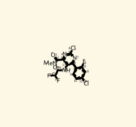 CNC(=O)c1nc(Cl)nc(-c2ccc(Cl)cc2F)c1NC(=O)C(F)F